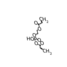 C=CC(=O)OCCOP(=O)(O)OC(=O)C=C